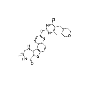 Cc1nc(Oc2cnc3c(ccc4sc5c(c43)NC[C@@H](C)NC5=O)n2)nc(Cl)c1CN1CCOCC1